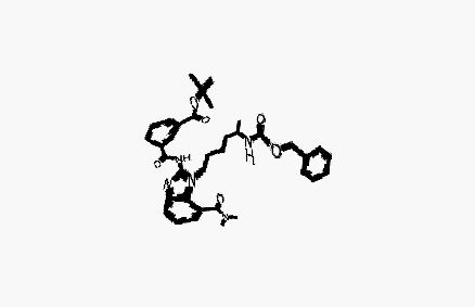 CC(CCCCn1c(NC(=O)c2cccc(C(=O)OC(C)(C)C)c2)nc2cccc(C(=O)N(C)C)c21)NC(=O)OCc1ccccc1